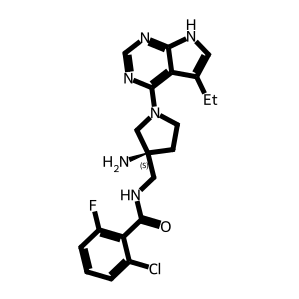 CCc1c[nH]c2ncnc(N3CC[C@](N)(CNC(=O)c4c(F)cccc4Cl)C3)c12